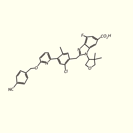 Cc1cc(Cc2nc3c(F)cc(C(=O)O)cc3n2C2COCC2(C)C)c(Cl)cc1-c1cccc(OCc2ccc(C#N)cc2)n1